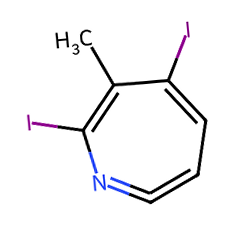 CC1=C(I)N=C=CC=C1I